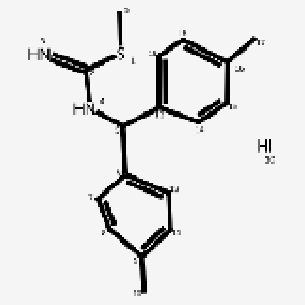 CSC(=N)NC(c1ccc(C)cc1)c1ccc(C)cc1.I